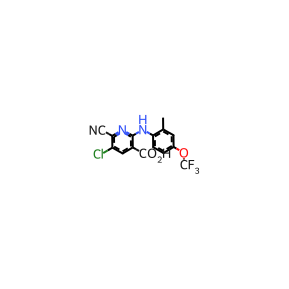 Cc1cc(OC(F)(F)F)ccc1Nc1nc(C#N)c(Cl)cc1C(=O)O